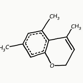 CC1=CCOc2cc(C)cc(C)c21